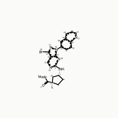 CNC(=O)[C@]1(C)CC[C@@H](Nc2ncc3c(Br)nn(-c4ccc5ncccc5c4)c3n2)C1